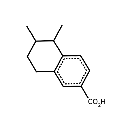 CC1CCc2cc(C(=O)O)ccc2C1C